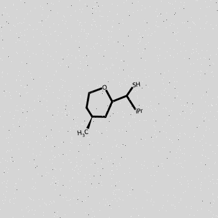 CC(C)C(S)C1C[C@@H](C)CCO1